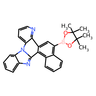 CC1(C)OB(c2cc3c4ncccc4n4c5ccccc5nc4c3c3ccccc23)OC1(C)C